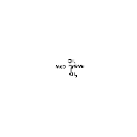 C[O][2Sn]([CH3])([CH3])[O]C